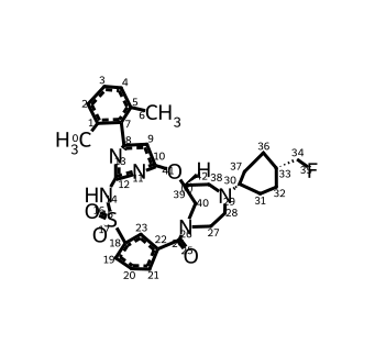 Cc1cccc(C)c1-c1cc2nc(n1)NS(=O)(=O)c1cccc(c1)C(=O)N1CCN([C@H]3CC[C@@H](CF)CC3)C[C@H](C1)O2